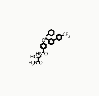 NC(=O)[C@H](O)CNC(=O)c1ccc(O[C@H](CC2CCCCC2)c2cccc(-c3ccc(C(F)(F)F)cc3)c2)cc1